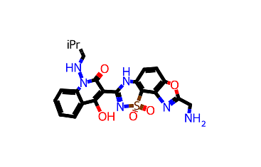 CC(C)CNn1c(=O)c(C2=NS(=O)(=O)c3c(ccc4oc(CN)nc34)N2)c(O)c2ccccc21